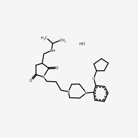 CC(C)NCC1CC(=O)N(CCCN2CCN(c3ccccc3OC3CCCC3)CC2)C1=O.Cl